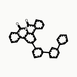 O=c1c2ccccc2c2cc(-c3cccc(-c4cccc(-c5ccccc5)c4)c3)cc3c4ccccc4c(=O)n1c23